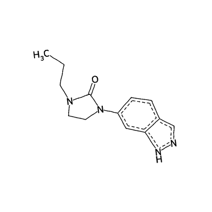 CCCN1CCN(c2ccc3cn[nH]c3c2)C1=O